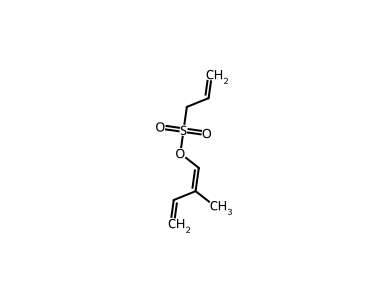 C=CCS(=O)(=O)OC=C(C)C=C